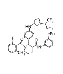 Cc1cccc(F)c1C(=O)N1CCCC(C(=O)Nc2cccc(C(C)(C)C)c2)C1c1ccc(NC2CCN(C(C)C(F)(F)F)C2)cc1